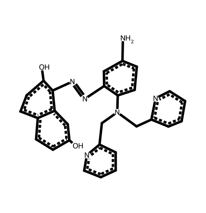 Nc1ccc(N(Cc2ccccn2)Cc2ccccn2)c(/N=N/c2c(O)ccc3ccc(O)cc23)c1